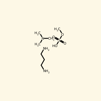 CN(C)C.COS(=O)(=O)O.NCCCN